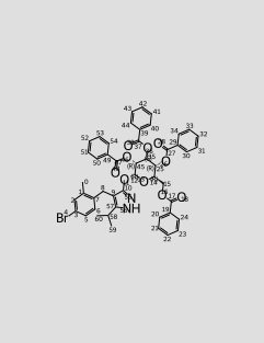 Cc1cc(Br)ccc1Cc1c(O[C@H]2O[C@H](COC(=O)c3ccccc3)[C@@H](OC(=O)c3ccccc3)[C@H](OC(=O)c3ccccc3)[C@H]2OC(=O)c2ccccc2)n[nH]c1C(C)C